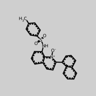 Cc1ccc(S(=O)(=O)Nc2cccc3ccc(-c4cccc5ccccc45)[n+]([O-])c23)cc1